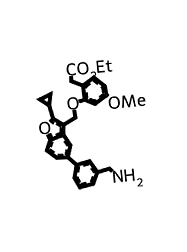 CCOC(=O)Cc1ccc(OC)cc1OCc1c(C2CC2)oc2ccc(-c3cccc(CN)c3)cc12